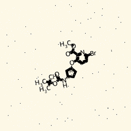 COC(=O)c1nc(Br)ccc1O[C@@H]1CC[C@H](NC(=O)OC(C)(C)C)C1